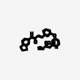 CC(C)(C)N(Cc1cc(Oc2cccc(C=CC(=O)Nc3ccc4c(c3)CCC4)c2)ccn1)C(=O)O